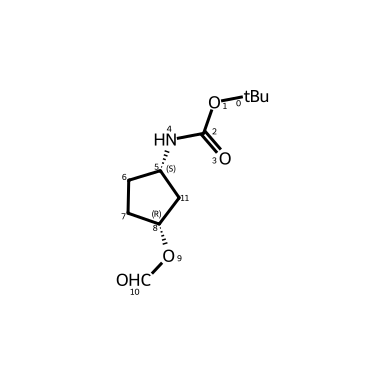 CC(C)(C)OC(=O)N[C@H]1CC[C@@H](OC=O)C1